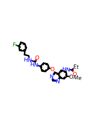 CCC(=O)Nc1cc2c(Oc3ccc(NC(=O)NCCc4cccc(F)c4)cc3)ncnc2cc1OC